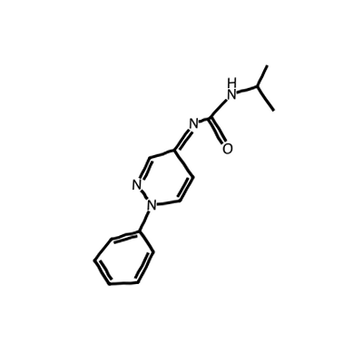 CC(C)NC(=O)N=c1ccn(-c2ccccc2)nc1